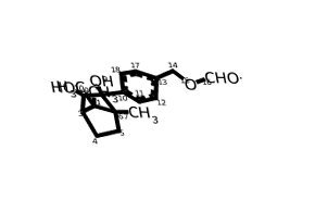 CC1(C)C2CCC1(C)C(O)(c1ccc(CO[C]=O)cc1)C2O